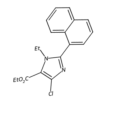 CCOC(=O)c1c(Cl)nc(-c2cccc3ccccc23)n1CC